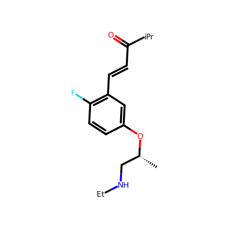 CCNC[C@@H](C)Oc1ccc(F)c(/C=C/C(=O)C(C)C)c1